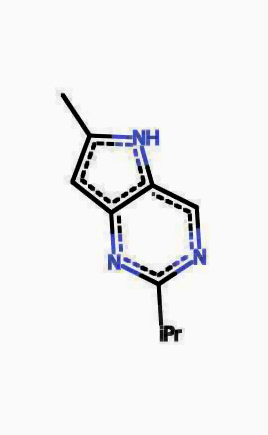 Cc1cc2nc(C(C)C)ncc2[nH]1